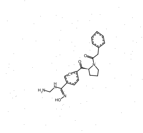 NCNC(=NO)c1ccc(C(=O)[C@@H]2CCCN2C(=O)Cc2ccccc2)cc1